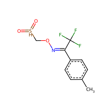 Cc1ccc(C(=NOC[SH](=O)=O)C(F)(F)F)cc1